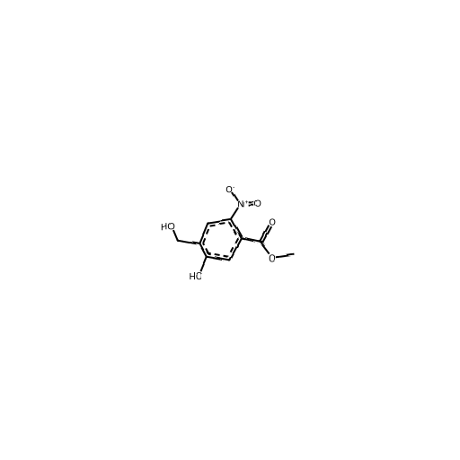 COC(=O)c1cc(O)c(CO)cc1[N+](=O)[O-]